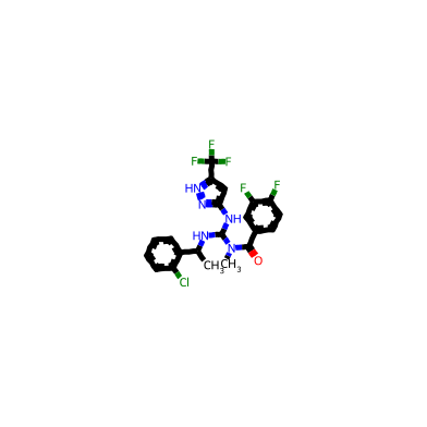 CC(NC(Nc1cc(C(F)(F)F)[nH]n1)N(C)C(=O)c1ccc(F)c(F)c1)c1ccccc1Cl